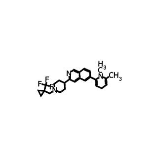 CC1=CCC=C(c2ccc3cnc(C4CCN(CC5(C(F)(F)F)CC5)CC4)cc3c2)N1C